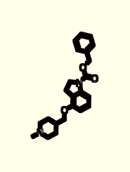 CN1CCC(COc2cccc3c2CCN3C(=O)OCc2ccccc2)CC1